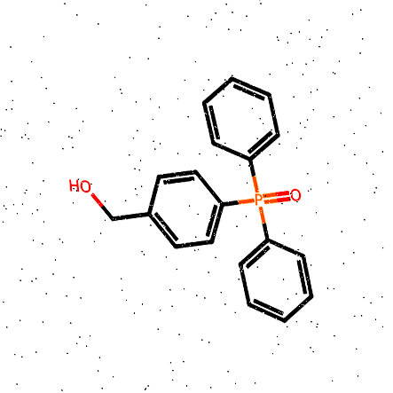 O=P(c1ccccc1)(c1ccccc1)c1ccc(CO)cc1